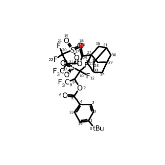 CC(C)(C)c1ccc(C(=O)OC(C(F)(F)F)C(F)(F)S(=O)(=O)OS(=O)(=O)C(F)(F)C(OC(=O)C23CC4CC(CC(C4)C2)C3)C(F)(F)F)cc1